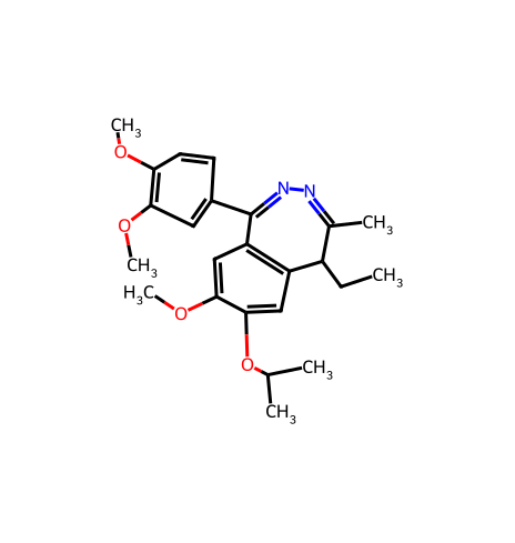 CCC1C(C)=NN=C(c2ccc(OC)c(OC)c2)c2cc(OC)c(OC(C)C)cc21